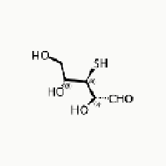 O=C[C@H](O)[C@H](S)[C@H](O)CO